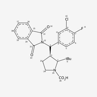 CC(C)(C)C1[C@H](C(c2ccc(F)c(Cl)c2)N2C(=O)c3ccccc3C2=O)CCN1C(=O)O